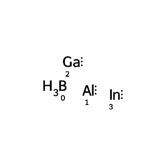 B.[Al].[Ga].[In]